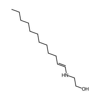 CCCCCCCCCCC=CNCCO